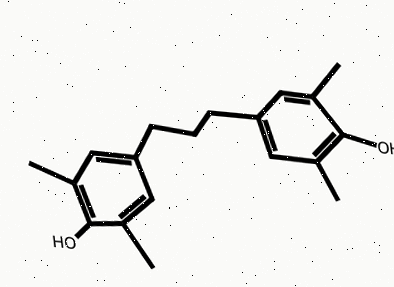 Cc1cc(CCCc2cc(C)c(O)c(C)c2)cc(C)c1O